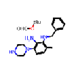 CC(C)(C)OC=O.Cc1ccc(N2CCNCC2)c(N)c1NCc1ccccc1